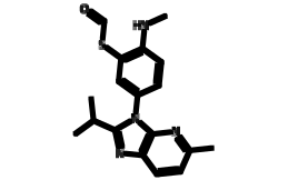 CNc1ccc(-n2c(C(C)C)nc3ccc(C)nc32)cc1SC=O